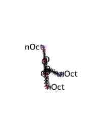 CCCCCCCC/C=C\CCCCCCCC(=O)OCCCCC(COC(=O)CCCCCCC/C=C\CCCCCCCC)OC(=O)CCCCCCC/C=C\CCCCCCCC